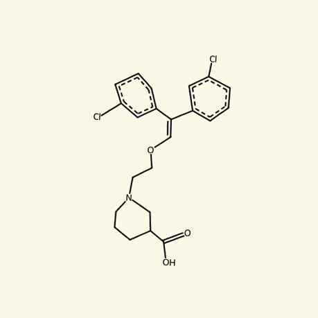 O=C(O)C1CCCN(CCOC=C(c2cccc(Cl)c2)c2cccc(Cl)c2)C1